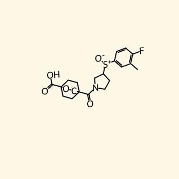 Cc1cc([S+]([O-])C2CCN(C(=O)C34CCC(C(=O)O)(CC3)OC4)C2)ccc1F